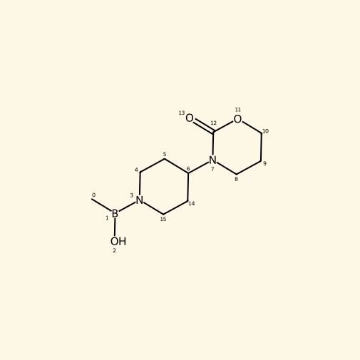 CB(O)N1CCC(N2CCCOC2=O)CC1